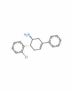 N[C@H]1CC(c2ccccc2)=CC[C@@H]1c1ccccc1Cl